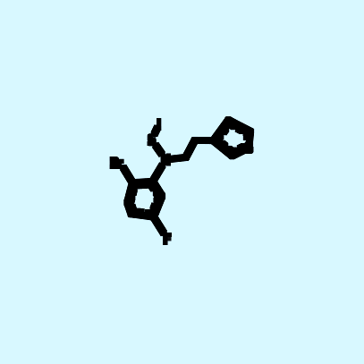 Fc1ccc(Br)c(N(CCc2ccsc2)SI)c1